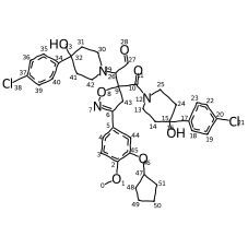 COc1ccc(C2=NOC(C(=O)N3CCC(O)(c4ccc(Cl)cc4)CC3)(C(C=O)N3CCC(O)(c4ccc(Cl)cc4)CC3)C2)cc1OC1CCCC1